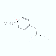 CNC1(O)C=CC(C[C@H](N)C(=O)O)=CC1